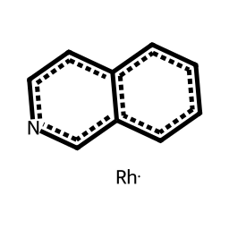 [Rh].c1ccc2cnccc2c1